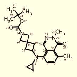 Cc1ccc(N(C2CC2)C2CC3(C2)CN(C(=O)OC(C)(C)C)C3)c2cnn(C)c(=O)c12